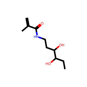 C=C(C)C(=O)NCCC(O)C(O)CC